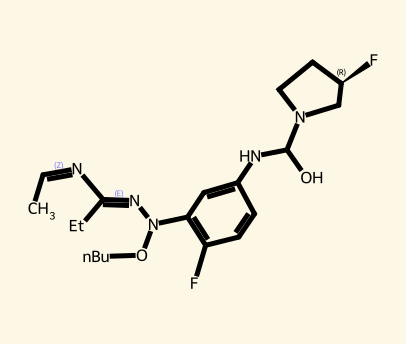 C/C=N\C(CC)=N\N(OCCCC)c1cc(NC(O)N2CC[C@@H](F)C2)ccc1F